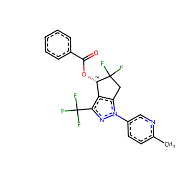 Cc1ccc(-n2nc(C(F)(F)F)c3c2CC(F)(F)[C@H]3OC(=O)c2ccccc2)cn1